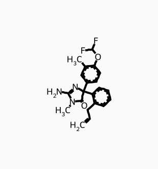 C=CCc1ccccc1C1(c2ccc(OC(F)F)c(C)c2)N=C(N)N(C)C1=O